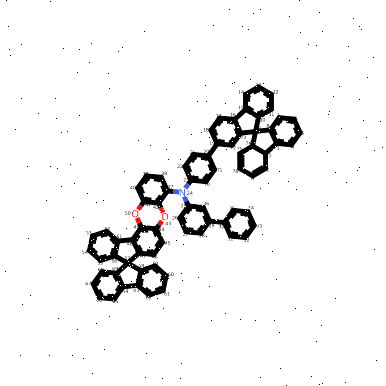 C1=CC2c3ccccc3C3(c4ccccc4-c4ccc(-c5ccc(N(c6cccc(-c7ccccc7)c6)c6cccc7c6Oc6ccc8c(c6O7)-c6ccccc6C86c7ccccc7-c7ccccc76)cc5)cc43)C2C=C1